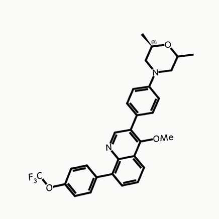 COc1c(-c2ccc(N3CC(C)O[C@H](C)C3)cc2)cnc2c(-c3ccc(OC(F)(F)F)cc3)cccc12